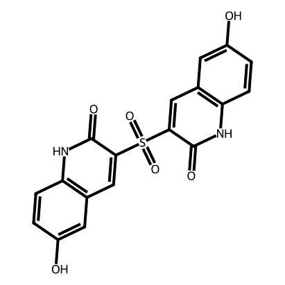 O=c1[nH]c2ccc(O)cc2cc1S(=O)(=O)c1cc2cc(O)ccc2[nH]c1=O